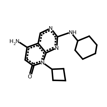 Nc1cc(=O)n(C2CCC2)c2nc(NC3CCCCC3)ncc12